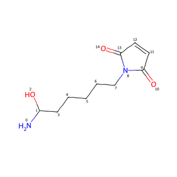 NC(O)CCCCCN1C(=O)C=CC1=O